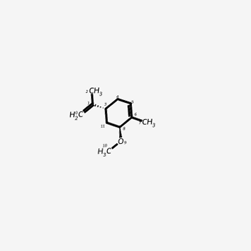 C=C(C)[C@@H]1CC=C(C)[C@@H](OC)C1